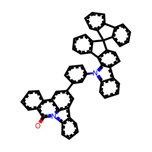 O=c1c2ccccc2c2cc(-c3cccc(-n4c5ccccc5c5ccc6c(c54)-c4ccccc4C64c5ccccc5-c5ccccc54)c3)cc3c4ccccc4n1c23